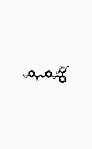 COC=C(C(=O)O)c1ccccc1COc1cccc(C=CC(=O)c2cccc(OC)c2)c1